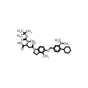 Cc1c(OCc2ccc(C3CCCCC3)c(N(C)C)c2)ccc2c1CCN2C(=O)CC(C(=O)O)N(C)C(=O)OC(C)(C)C